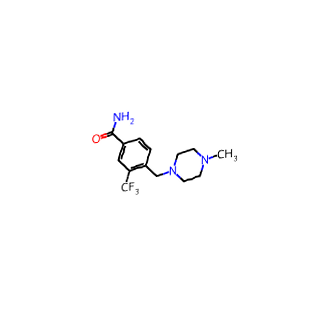 CN1CCN(Cc2ccc(C(N)=O)cc2C(F)(F)F)CC1